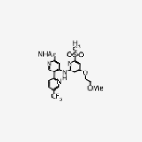 COCCOc1cc(Nc2cc(NC(C)=O)ncc2-c2ccc(C(F)(F)F)cn2)nc(S(C)(=O)=O)c1